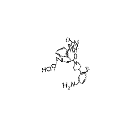 COCCn1cc(C(=O)N2CCC(c3cc(CN)ccc3F)CC2)c2c(NC(=O)N(C)C)cccc21.Cl